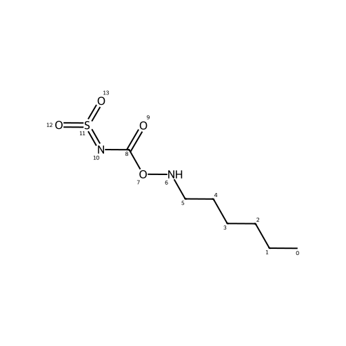 CCCCCCNOC(=O)N=S(=O)=O